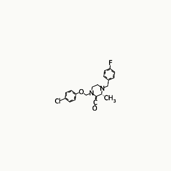 C[C@@H]1C(=C=O)N(COc2ccc(Cl)cc2)CCN1Cc1ccc(F)cc1